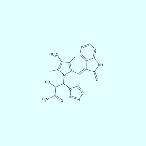 Cc1c(C(=O)O)c(C)n(C(C(O)C(N)=O)n2ccnn2)c1C=C1C(=O)Nc2ccccc21